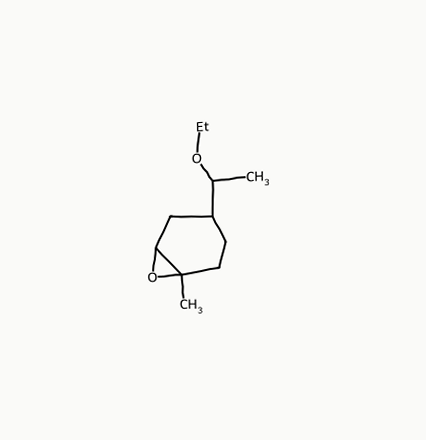 CCOC(C)C1CCC2(C)OC2C1